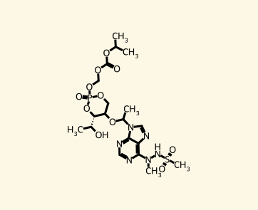 CC(C)OC(=O)OCOP1(=O)OCC(OC(C)n2cnc3c(N(C)NS(C)(=O)=O)ncnc32)[C@H](C(C)O)O1